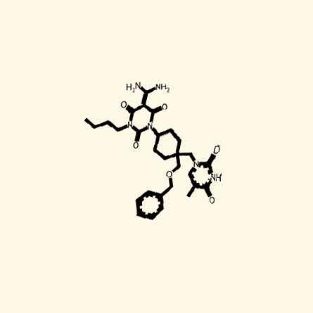 CCCCN1C(=O)C(=C(N)N)C(=O)N(C2CCC(COCc3ccccc3)(Cn3cc(C)c(=O)[nH]c3=O)CC2)C1=O